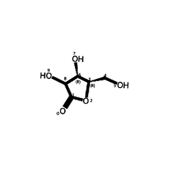 O=C1O[C@H](CO)[C@H](O)C1O